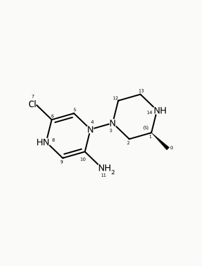 C[C@H]1CN(N2C=C(Cl)NC=C2N)CCN1